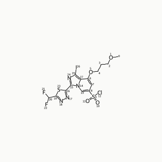 COCCCOc1cc(S(=O)(=O)Cl)cn2c(-c3nnc(C(F)F)s3)nc(I)c12